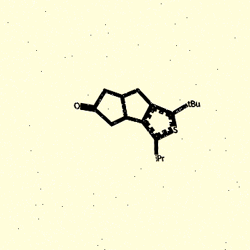 CC(C)c1sc(C(C)(C)C)c2c1C1CC(=O)CC1C2